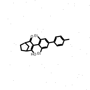 CCc1cc(-c2ccc(C)cc2)cc(CC)c1C1=C(O)C2CCC(C2)C1=O